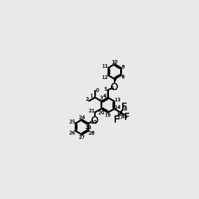 CC(C)c1c(COc2ccccc2)cc(C(F)(F)F)cc1COc1ccccc1